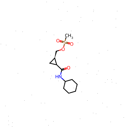 CS(=O)(=O)OC[C@@H]1CC1C(=O)NC1CCCCC1